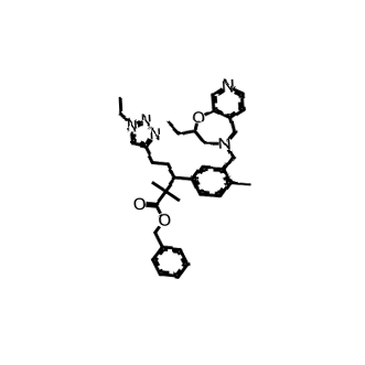 CCC1CN(Cc2cc(C(CCc3cn(CC)nn3)C(C)(C)C(=O)OCc3ccccc3)ccc2C)Cc2ccncc2O1